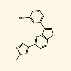 Cn1cc(-c2ccc3occ(-c4cccc(C(C)(C)C)c4)c3n2)cn1